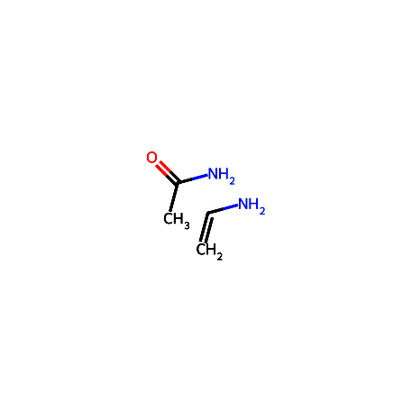 C=CN.CC(N)=O